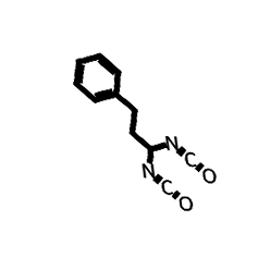 O=C=NC(CCc1ccccc1)N=C=O